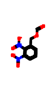 O=[C]OCc1cccc([N+](=O)[O-])c1[N+](=O)[O-]